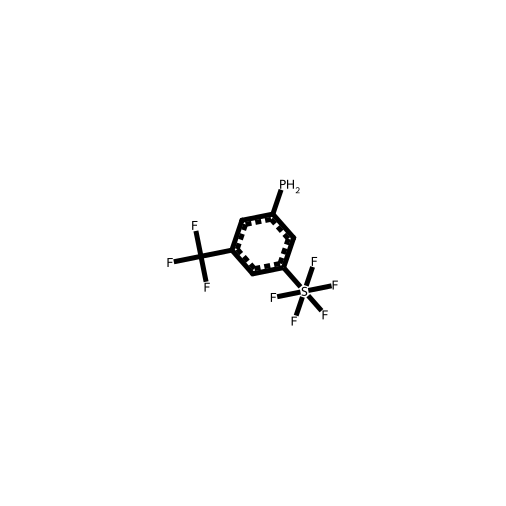 FC(F)(F)c1cc(P)cc(S(F)(F)(F)(F)F)c1